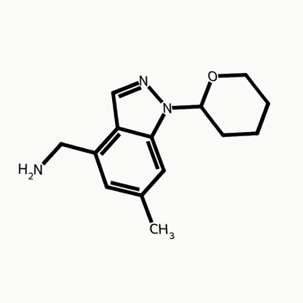 Cc1cc(CN)c2cnn(C3CCCCO3)c2c1